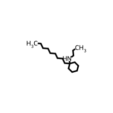 CCCCCCCCCC1(NCCC)CCCCC1